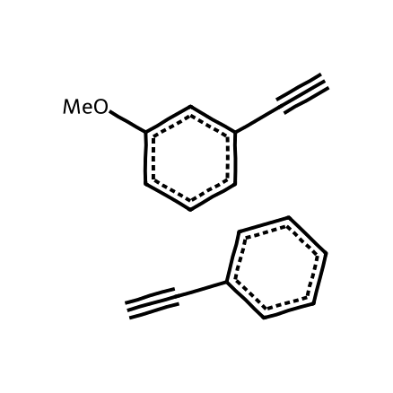 C#Cc1cccc(OC)c1.C#Cc1ccccc1